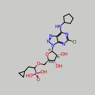 O=P(O)(O)C(CC1CC1)OC[C@H]1O[C@@H](n2nnc3c(NC4CCCC4)nc(Cl)nc32)[C@H](O)[C@@H]1O